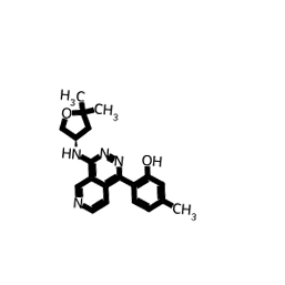 Cc1ccc(-c2nnc(N[C@@H]3COC(C)(C)C3)c3cnccc23)c(O)c1